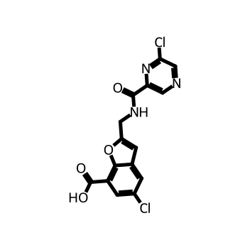 O=C(NCc1cc2cc(Cl)cc(C(=O)O)c2o1)c1cncc(Cl)n1